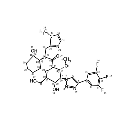 CO[C@@H]1[C@@H](n2cc(-c3cc(F)c(F)c(F)c3)nn2)[C@@H](O)[C@@H](CO)O[C@H]1C(=O)N(Cc1nccn1C)[C@H]1CCCC[C@@H]1O